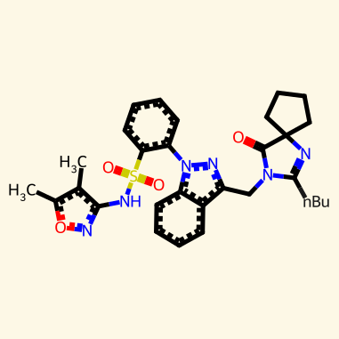 CCCCC1=NC2(CCCC2)C(=O)N1Cc1nn(-c2ccccc2S(=O)(=O)Nc2noc(C)c2C)c2ccccc12